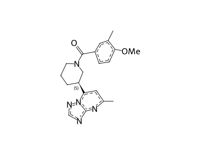 COc1ccc(C(=O)N2CCC[C@H](c3cc(C)nc4ncnn34)C2)cc1C